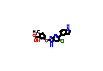 Cc1ccc(Oc2nc3nc(-c4ccc5[nH]ccc5c4)c(Cl)cc3[nH]2)cc1C(=O)O